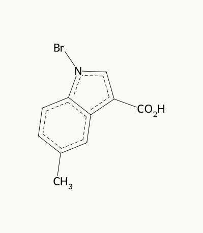 Cc1ccc2c(c1)c(C(=O)O)cn2Br